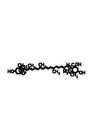 C\C(C=C=C1C(C)(C)CC(O)CC1(C)O)=C/C=C/C(C)=C/C=C/C=C(C)/C=C/C=C(C)/C=C/C12OC1(C)CC(O)CC2(C)C